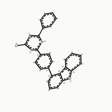 Clc1nc(-c2ccccc2)nc(-c2ccc(-c3cccc4oc5ccccc5c34)cc2)n1